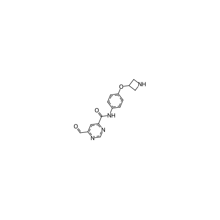 O=Cc1cc(C(=O)Nc2ccc(OC3CNC3)cc2)ncn1